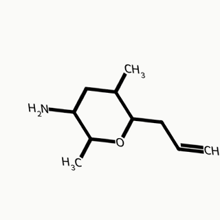 C=CCC1OC(C)C(N)CC1C